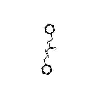 O=C(/N=N/Cc1ccccc1)OCc1ccccc1